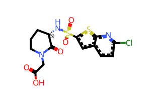 O=C(O)CN1CCC[C@H](NS(=O)(=O)c2cc3ccc(Cl)nc3s2)C1=O